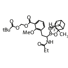 CCC(=O)NC(Cc1cccc(C(=O)OCOC(=O)C(C)(C)C)c1OC)B1OC2CC3CC(C3(C)C)C2(C)O1